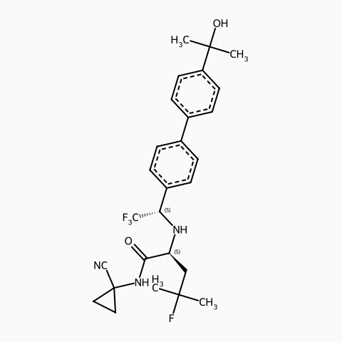 CC(C)(F)C[C@H](N[C@@H](c1ccc(-c2ccc(C(C)(C)O)cc2)cc1)C(F)(F)F)C(=O)NC1(C#N)CC1